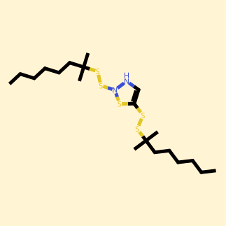 CCCCCCC(C)(C)SSC1=CNN(SSC(C)(C)CCCCCC)S1